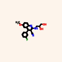 COc1ccc2nc(NCC(O)CO)c(C#N)c(-c3cccc(F)c3)c2c1